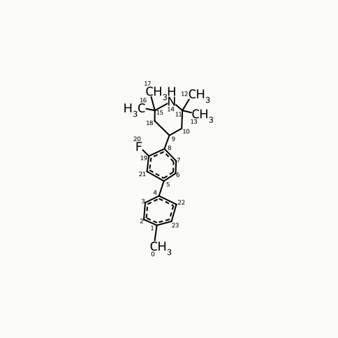 Cc1ccc(-c2ccc(C3CC(C)(C)NC(C)(C)C3)c(F)c2)cc1